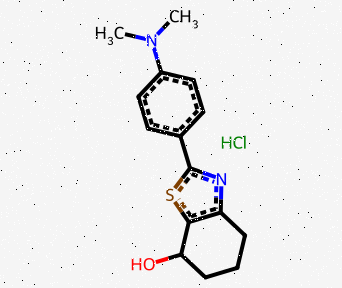 CN(C)c1ccc(-c2nc3c(s2)C(O)CCC3)cc1.Cl